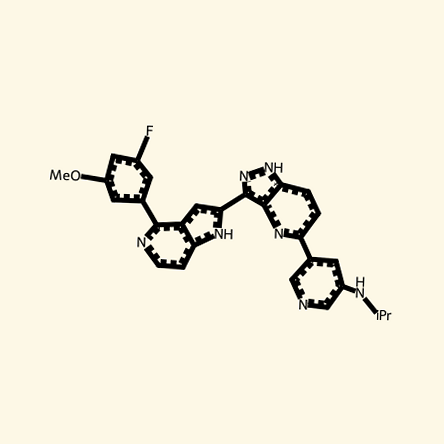 COc1cc(F)cc(-c2nccc3[nH]c(-c4n[nH]c5ccc(-c6cncc(NC(C)C)c6)nc45)cc23)c1